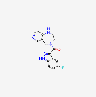 O=C(c1n[nH]c2ccc(F)cc12)N1CCNc2ccncc2C1